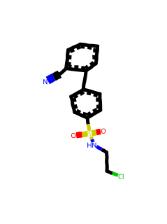 N#Cc1ccccc1-c1ccc(S(=O)(=O)NCCCl)cc1